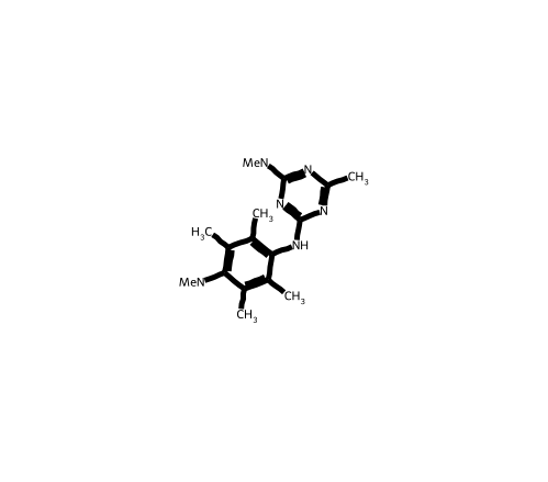 CNc1nc(C)nc(Nc2c(C)c(C)c(NC)c(C)c2C)n1